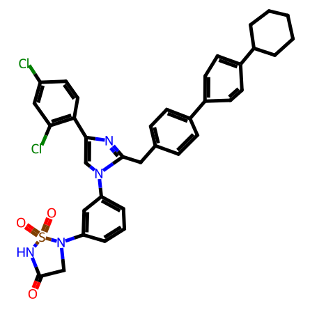 O=C1CN(c2cccc(-n3cc(-c4ccc(Cl)cc4Cl)nc3Cc3ccc(-c4ccc(C5CCCCC5)cc4)cc3)c2)S(=O)(=O)N1